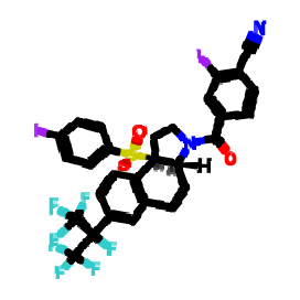 N#Cc1ccc(C(=O)N2CC[C@@]3(S(=O)(=O)c4ccc(I)cc4)c4ccc(C(F)(C(F)(F)F)C(F)(F)F)cc4CC[C@@H]23)cc1I